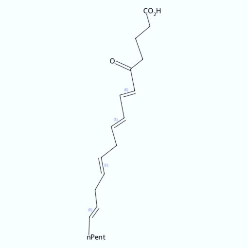 CCCCC/C=C/C/C=C/C/C=C/C=C/C(=O)CCCC(=O)O